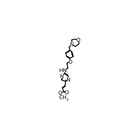 COC(=O)/C=C/c1cnc(NCCOc2ccc(CN3CCOCC3)cc2)cn1